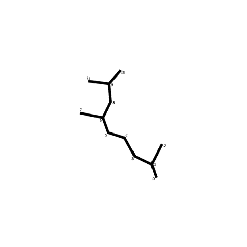 C[C](C)CCCC(C)CC(C)C